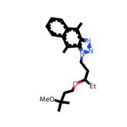 CCC(CCn1nnc2c(C)c3ccccc3c(C)c21)OCCC(C)(C)OC